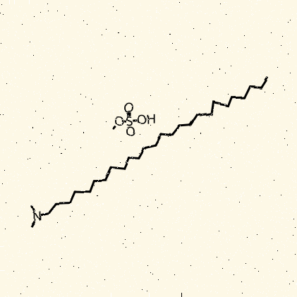 CCCCCCCCCCCCCCCCCCCCCCCCCCN(C)C.COS(=O)(=O)O